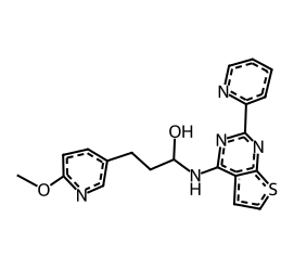 COc1ccc(CCC(O)Nc2nc(-c3ccccn3)nc3sccc23)cn1